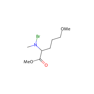 COCCCC(C(=O)OC)N(C)Br